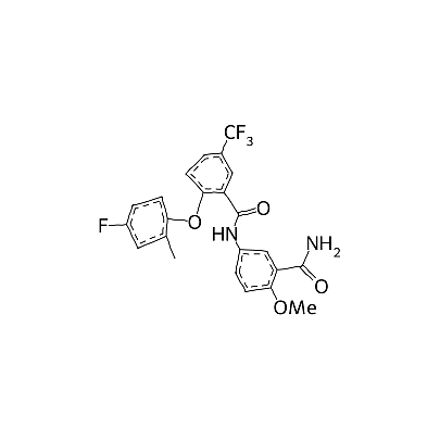 COc1ccc(NC(=O)c2cc(C(F)(F)F)ccc2Oc2ccc(F)cc2C)cc1C(N)=O